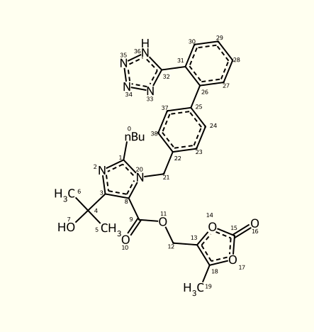 CCCCc1nc(C(C)(C)O)c(C(=O)OCc2oc(=O)oc2C)n1Cc1ccc(-c2ccccc2-c2nnn[nH]2)cc1